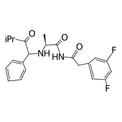 CC(C)C(=O)C(N[C@@H](C)C(=O)NC(=O)Cc1cc(F)cc(F)c1)c1ccccc1